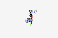 N[C@@H](Cc1ccc(OCCN(CCCF)C(=O)Cn2ccnc2[N+](=O)[O-])cc1)C(=O)O